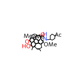 COc1c(NCC2CCC(C(C)=O)CC2)c2c(=O)cc(OC)c3c4c(OC)cc(=O)c5c(O)c(C)c6c(c(c1CC(C)=C6)c23)c54